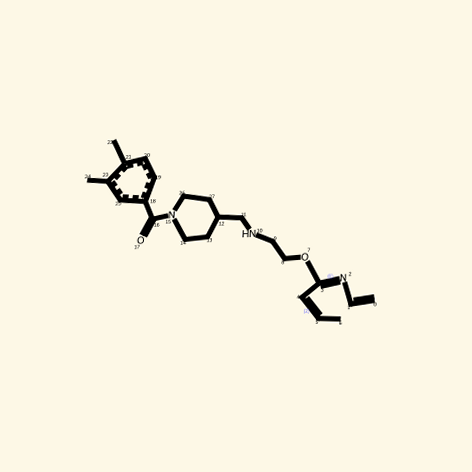 C=C/N=C(\C=C/C)OCCNCC1CCN(C(=O)c2ccc(C)c(C)c2)CC1